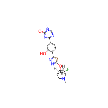 CN1CC2CCC1[C@@H](F)[C@@H]2Oc1nnc(-c2ccc(-c3ncn(C)c(=O)n3)cc2O)s1